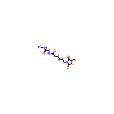 CC(C)NC(=O)CNC(=O)CCCCCN1C(=O)CC(C)C1=O